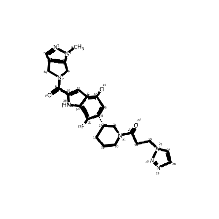 Cn1ncc2c1CN(C(=O)c1cc3c(Cl)cc([C@H]4CCCN(C(=O)CCn5ccnn5)C4)c(F)c3[nH]1)C2